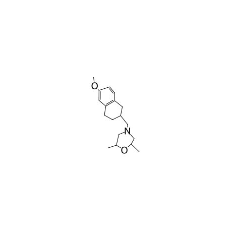 COc1ccc2c(c1)CCC(CN1CC(C)OC(C)C1)C2